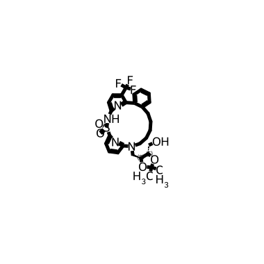 CC1(C)O[C@@H](CO)[C@H](CN2CCCCCc3ccccc3-c3nc(ccc3C(F)(F)F)NS(=O)(=O)c3cccc2n3)O1